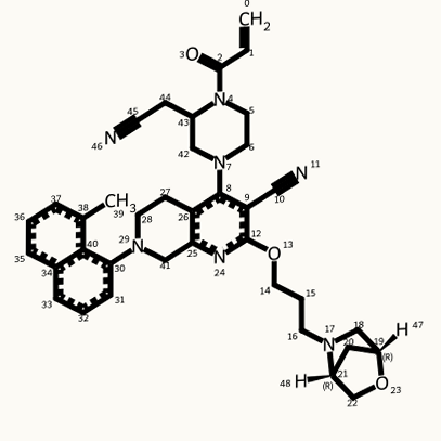 C=CC(=O)N1CCN(c2c(C#N)c(OCCCN3C[C@H]4C[C@@H]3CO4)nc3c2CCN(c2cccc4cccc(C)c24)C3)CC1CC#N